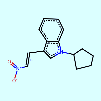 O=[N+]([O-])/C=C/c1cn(C2CCCC2)c2ccccc12